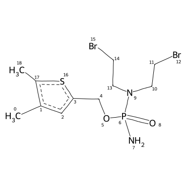 Cc1cc(COP(N)(=O)N(CCBr)CCBr)sc1C